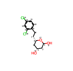 OC1C[C@H](O)C[C@H](CCc2ccc(Cl)cc2Cl)O1